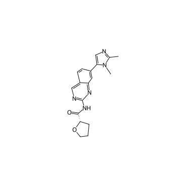 Cc1ncc(-c2ccc3cnc(NC(=O)[C@@H]4CCCO4)nc3c2)n1C